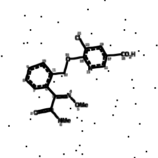 CNC(=O)/C(=N\OC)c1ccccc1COc1ncc(C(=O)O)cc1Cl